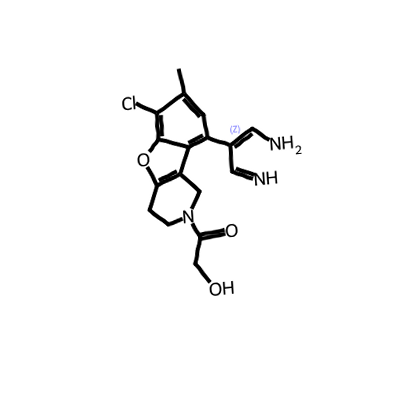 Cc1cc(/C(C=N)=C/N)c2c3c(oc2c1Cl)CCN(C(=O)CO)C3